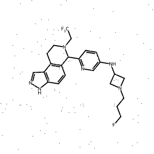 FCCCN1CC(Nc2ccc(C3c4ccc5[nH]ncc5c4CCN3CC(F)(F)F)nc2)C1